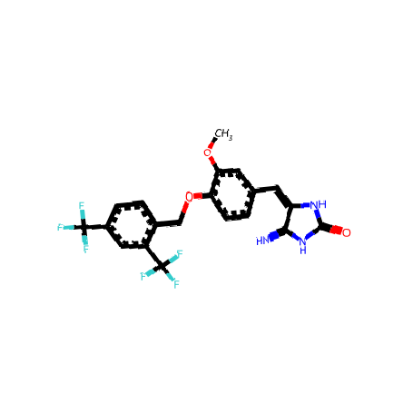 COc1cc(C=C2NC(=O)NC2=N)ccc1OCc1ccc(C(F)(F)F)cc1C(F)(F)F